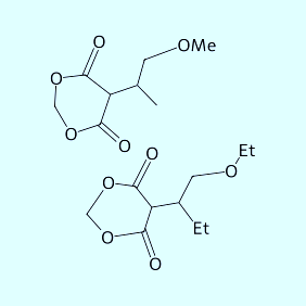 CCOCC(CC)C1C(=O)OCOC1=O.COCC(C)C1C(=O)OCOC1=O